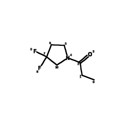 C[CH]C(=O)N1CCC(F)(F)C1